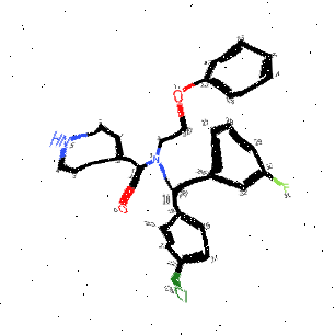 O=C(C1CCNCC1)N(CCOc1ccccc1)[C@H](c1ccc(Cl)cc1)c1cccc(F)c1